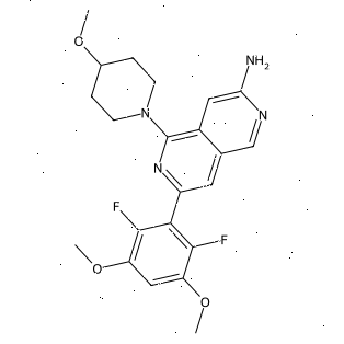 COc1cc(OC)c(F)c(-c2cc3cnc(N)cc3c(N3CCC(OC)CC3)n2)c1F